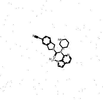 Cn1ccc2ccnc(N(C(=O)N3Cc4ccc(C#N)cc4C3)[C@@H]3CCCNC3)c21